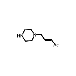 CC(=O)/C=C/CN1CCNCC1